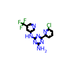 Nc1nc(Nc2cncc(C(F)(F)F)c2)nc(-c2cccc(Cl)n2)n1